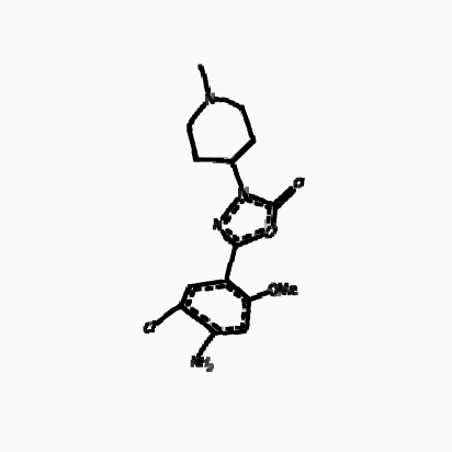 COc1cc(N)c(Cl)cc1-c1nn(C2CCN(C)CC2)c(=O)o1